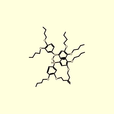 CCCCOc1ccc([SiH](O[SiH](c2ccc(OCCCC)c(OCCCC)c2)c2ccc(OCCCC)c(OCCCC)c2)c2ccc(OCCCC)c(OCCCC)c2)cc1OCCCC